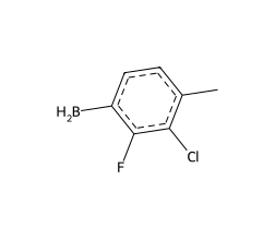 Bc1ccc(C)c(Cl)c1F